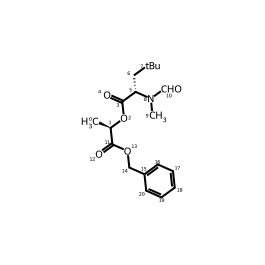 C[C@@H](OC(=O)[C@H](CC(C)(C)C)N(C)C=O)C(=O)OCc1ccccc1